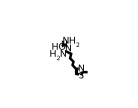 Cc1nc(CCCC/C(N)=N/N(N)O)cs1